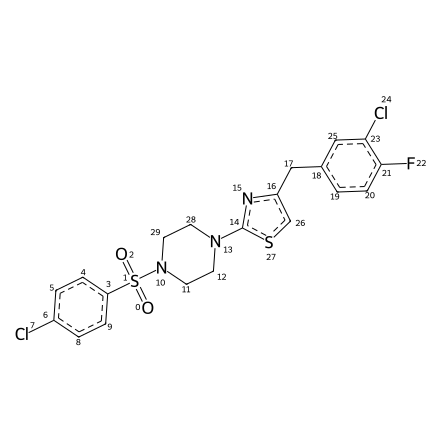 O=S(=O)(c1ccc(Cl)cc1)N1CCN(c2nc(Cc3ccc(F)c(Cl)c3)cs2)CC1